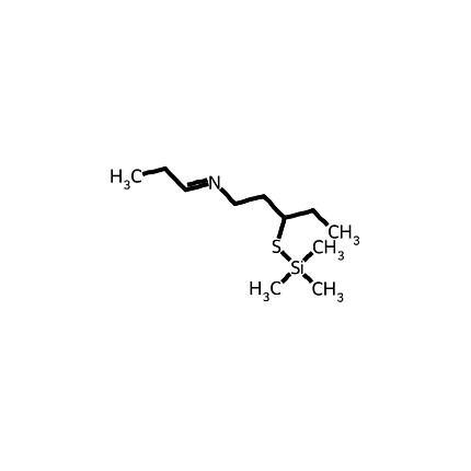 CCC=NCCC(CC)S[Si](C)(C)C